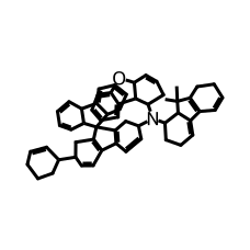 CC1(C)C2=C(C=CCC2)C2=CCCC(N(C3C=CC4=C(C3)C3(C5=C4C=CC(C4C=CCCC4)C5)C4CC=CC=C4C4C=CC=CC43)C3CC=CC4Oc5ccccc5C43)C21